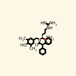 Cc1cc(CN(C(=O)C(c2ccccc2)c2ccccc2)[C@@H](CCCNC(=N)N)C(N)=O)cc(C)c1O